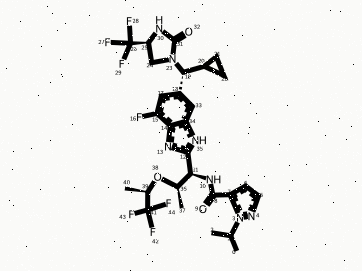 CC(C)n1nccc1C(=O)N[C@H](c1nc2c(F)cc([C@@H](C3CC3)N3C[C@@H](C(F)(F)F)NC3=O)cc2[nH]1)[C@@H](C)O[C@H](C)C(F)(F)F